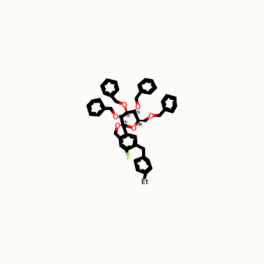 CCc1ccc(Cc2cc3c(cc2F)CO[C@]32O[C@H](COCc3ccccc3)[C@H](OCc3ccccc3)[C@H](OCc3ccccc3)[C@H]2OCc2ccccc2)cc1